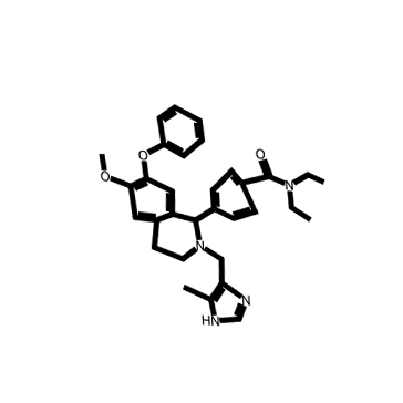 CCN(CC)C(=O)c1ccc(C2c3cc(Oc4ccccc4)c(OC)cc3CCN2Cc2nc[nH]c2C)cc1